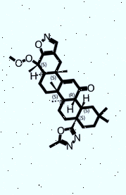 COO[C@]1(C)c2oncc2C[C@]2(C)C3=CC(=O)[C@@H]4[C@@H]5CC(C)(C)CC[C@]5(c5nnc(C)o5)CC[C@@]4(C)[C@]3(C)CC[C@H]21